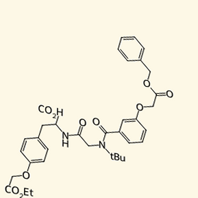 CCOC(=O)COc1ccc(CC(NC(=O)CN(C(=O)c2cccc(OCC(=O)OCc3ccccc3)c2)C(C)(C)C)C(=O)O)cc1